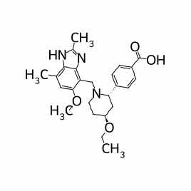 CCO[C@H]1CCN(Cc2c(OC)cc(C)c3[nH]c(C)nc23)[C@H](c2ccc(C(=O)O)cc2)C1